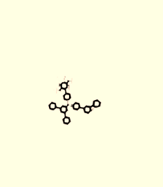 [2H]c1c([2H])c([2H])c(-c2ccc(N(c3ccc(-c4ccc5sc6ccccc6c5c4)cc3)c3cc(-c4ccccc4)cc(-c4ccccc4)c3)cc2)c([2H])c1[2H]